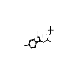 CC(Cc1c[nH]c2cc(I)ccc12)NCC(C)(F)F